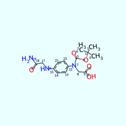 CC(C)(C)OC(=O)N(CC(=O)O)c1ccc(NCC(N)=O)cc1